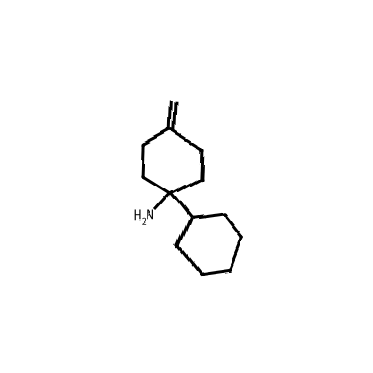 C=C1CCC(N)(C2CCCCC2)CC1